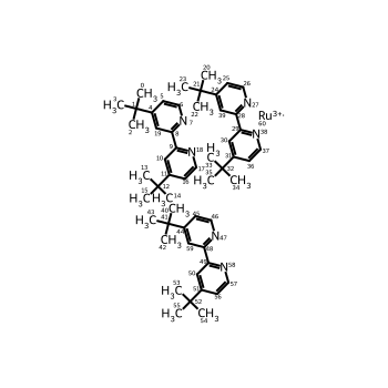 CC(C)(C)c1ccnc(-c2cc(C(C)(C)C)ccn2)c1.CC(C)(C)c1ccnc(-c2cc(C(C)(C)C)ccn2)c1.CC(C)(C)c1ccnc(-c2cc(C(C)(C)C)ccn2)c1.[Ru+3]